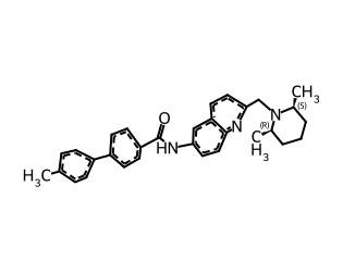 Cc1ccc(-c2ccc(C(=O)Nc3ccc4nc(CN5[C@H](C)CCC[C@@H]5C)ccc4c3)cc2)cc1